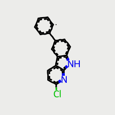 Clc1ccc2c(n1)[nH]c1ccc(-c3[c]cccc3)cc12